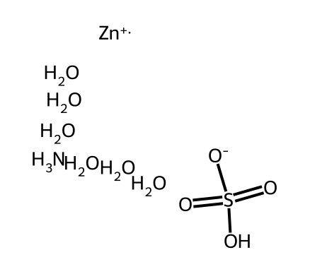 N.O.O.O.O.O.O.O=S(=O)([O-])O.[Zn+]